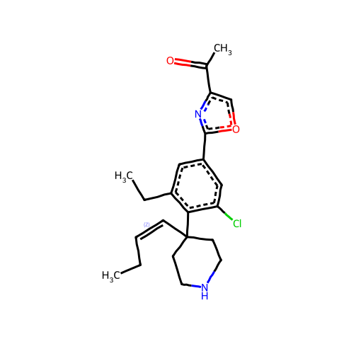 CC/C=C\C1(c2c(Cl)cc(-c3nc(C(C)=O)co3)cc2CC)CCNCC1